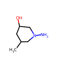 CC1CC(O)CN(N)C1